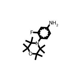 CC1(C)OC(C)(C)C(C)(C)N(c2ccc(N)cc2F)C1(C)C